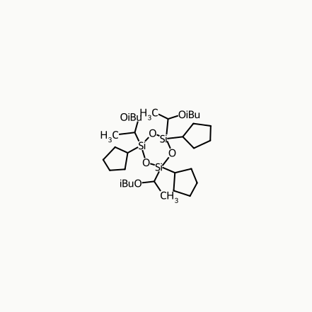 CC(C)COC(C)[Si]1(C2CCCC2)O[Si](C2CCCC2)(C(C)OCC(C)C)O[Si](C2CCCC2)(C(C)OCC(C)C)O1